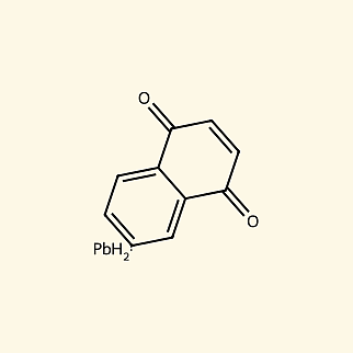 O=C1C=CC(=O)c2ccccc21.[PbH2]